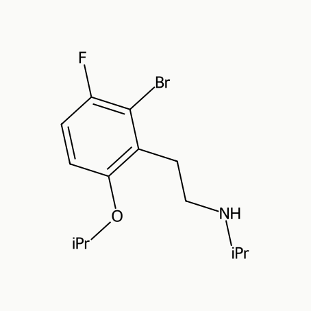 CC(C)NCCc1c(OC(C)C)ccc(F)c1Br